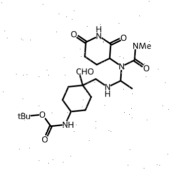 CNC(=O)N(C(C)NCC1(C=O)CCC(NC(=O)OC(C)(C)C)CC1)C1CCC(=O)NC1=O